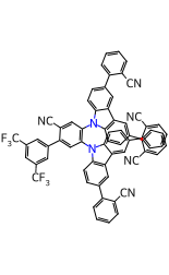 N#Cc1ccccc1-c1ccc2c(c1)c1cc(-c3ccccc3C#N)ccc1n2-c1cc(C#N)c(-c2cc(C(F)(F)F)cc(C(F)(F)F)c2)cc1-n1c2ccc(-c3ccccc3C#N)cc2c2cc(-c3ccccc3C#N)ccc21